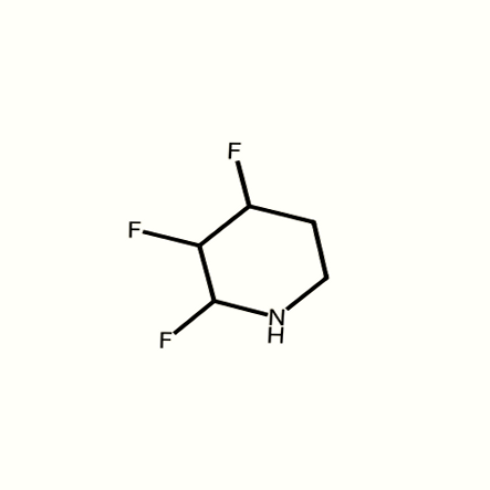 FC1CCNC(F)C1F